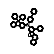 c1ccc(-c2ccc(N(c3ccc4c(c3)C(c3ccccc3)(c3ccccc3)c3ccccc3-4)c3cc(-c4ccccc4)c4c(c3)oc3c5ccccc5ccc34)cc2)cc1